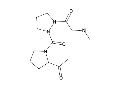 CNCC(=O)N1CCCN1C(=O)N1CCCC1C(C)=O